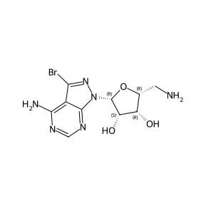 NC[C@H]1O[C@@H](n2nc(Br)c3c(N)ncnc32)[C@@H](O)[C@H]1O